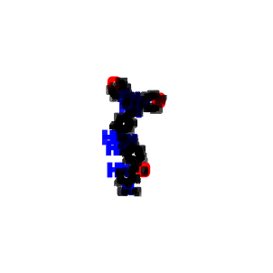 CN(C)C1CCNC(C(=O)c2ccc3nc(Nc4ccc(-c5nc(N6CCOCC6)nc(N6CCOCC6)n5)cc4)[nH]c3c2)C1